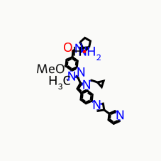 COc1cc(C(=O)N2CC3CCC2[C@@H]3N)cc2nc(-c3cc4ccc(N5CC(c6cccnc6)C5)cc4n3CC3CC3)n(C)c12